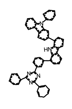 C1=CCC=CC(c2nc(-c3ccccc3)nc(-c3cccc(-c4cccc5c4[nH]c4c(-c6ccc7c8ccccc8n(-c8ccccc8)c7c6)cccc45)c3)n2)=C1